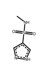 CNS(=O)(=O)c1cn[nH]c1